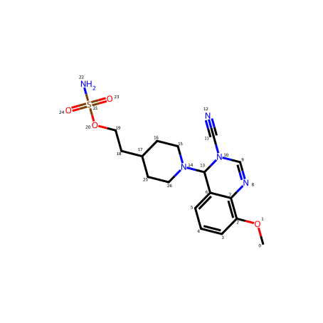 COc1cccc2c1N=CN(C#N)C2N1CCC(CCOS(N)(=O)=O)CC1